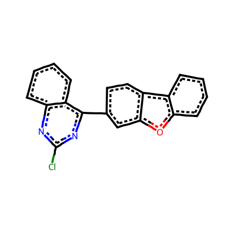 Clc1nc(-c2ccc3c(c2)oc2ccccc23)c2ccccc2n1